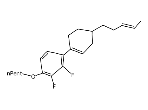 C/C=C/CCC1CC=C(c2ccc(OCCCCC)c(F)c2F)CC1